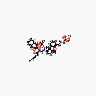 CC#CC[C@H](C)[C@@H](/C=C/[C@H]1CC[C@@H]2Oc3c(CCCC(=O)OC)cccc3[C@@H]21)OC(=O)[C@H](OC(C)=O)c1ccccc1Cl